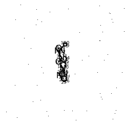 O=C1N(Cc2noc(C3CCC3)n2)CCCC12CCN(c1cnc3ccccc3n1)CC2